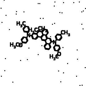 COc1ccc(N(c2ccc(C)cc2)c2ccc3c(c2)C(C)(C)c2cccc4c2c-3cc2c3ccccc3c(N(c3ccc(C)cc3)c3ccc(OC)cc3)cc42)cc1